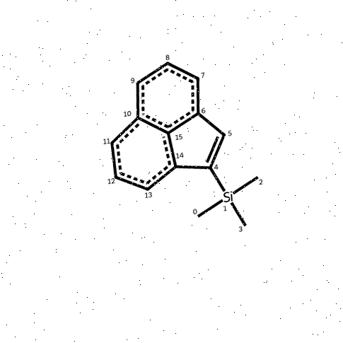 C[Si](C)(C)C1=Cc2cccc3cccc1c23